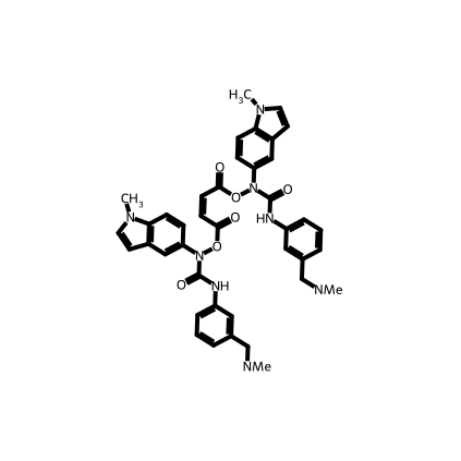 CNCc1cccc(NC(=O)N(OC(=O)/C=C\C(=O)ON(C(=O)Nc2cccc(CNC)c2)c2ccc3c(ccn3C)c2)c2ccc3c(ccn3C)c2)c1